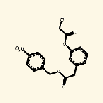 O=C([CH]c1cccc(OC(=O)CCl)c1)OCc1ccc([N+](=O)[O-])cc1